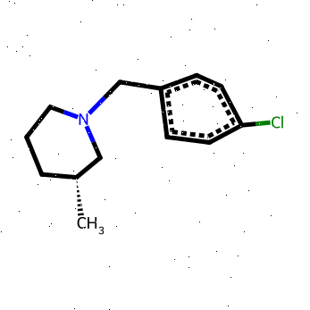 C[C@@H]1CCCN(Cc2ccc(Cl)cc2)C1